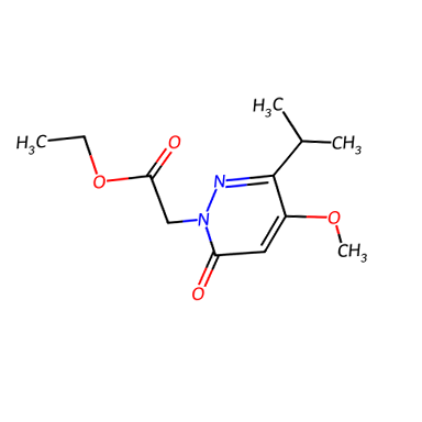 CCOC(=O)Cn1nc(C(C)C)c(OC)cc1=O